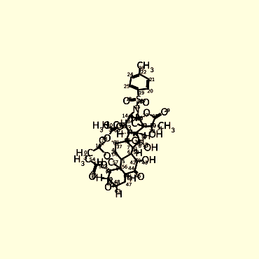 CC(=O)O[C@H]1C2C([C@@H]3[C@@H](O)[C@@H]4[C@H]([C@H](C)[C@H]5N(S(=O)(=O)c6ccc(C)cc6)[C@]56OC(=O)[C@@](C)(O)[C@]46C)[C@@]3(C)[C@H]1OC(C)=O)[C@@H](O)C(=O)[C@H]1C[C@@H]3O[C@@H]3[C@H](OC(C)=O)[C@]21C